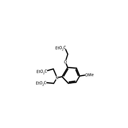 CCOC(=O)COc1cc(OC)ccc1N(CC(=O)OCC)CC(=O)OCC